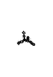 c1cncc(-c2ccc(-c3nc(-c4ccc5c(c4)oc4ccccc45)nc(-c4ccc(-c5ccc6c(c5)sc5ccccc56)c5oc6ccccc6c45)n3)cc2)c1